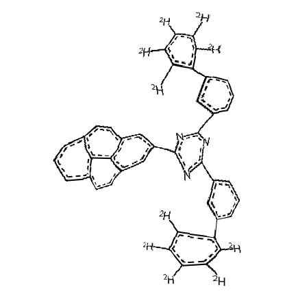 [2H]c1c([2H])c([2H])c(-c2cccc(-c3nc(-c4cccc(-c5c([2H])c([2H])c([2H])c([2H])c5[2H])c4)nc(-c4cc5ccc6cccc7ccc(c4)c5c67)n3)c2)c([2H])c1[2H]